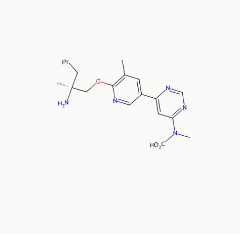 Cc1cc(-c2cc(N(C)C(=O)O)ncn2)cnc1OC[C@@](C)(N)CC(C)C